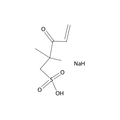 C=CC(=O)C(C)(C)CS(=O)(=O)O.[NaH]